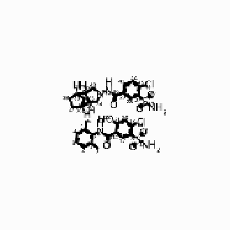 Cc1cccc(C)c1NC(=O)c1cc(S(N)(=O)=O)c(Cl)cc1O.NS(=O)(=O)c1cc(C(=O)NN2C[C@@H]3[C@H]4CC[C@H](C4)[C@@H]3C2)ccc1Cl